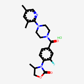 Cc1cnc(N2CCN(C(=O)c3ccc(N4C(=O)OCC4C)c(F)c3)CC2)c(C)c1.Cl